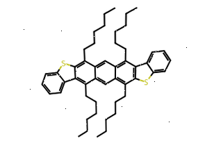 CCCCCCc1c2cc3c(CCCCCC)c4c(sc5ccccc54)c(CCCCCC)c3cc2c(CCCCCC)c2c1sc1ccccc12